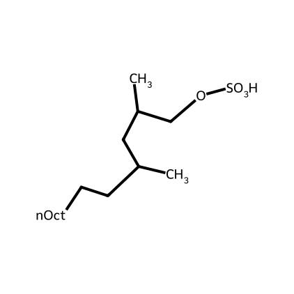 CCCCCCCCCCC(C)CC(C)COS(=O)(=O)O